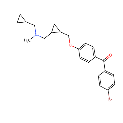 CN(CC1CC1)CC1CC1COc1ccc(C(=O)c2ccc(Br)cc2)cc1